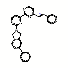 C(=C\c1ccnc(-c2ccnc(N3Cc4ccc(-c5ccccc5)cc4C3)n2)n1)/c1ccncc1